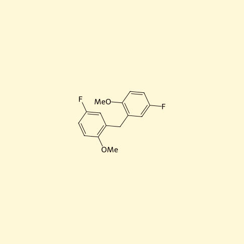 COc1ccc(F)cc1Cc1cc(F)ccc1OC